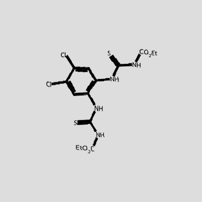 CCOC(=O)NC(=S)Nc1cc(Cl)c(Cl)cc1NC(=S)NC(=O)OCC